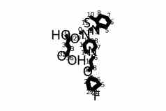 CN(C1=Nc2ccccc2CS1)C1CCN(CCCOc2ccc(F)cc2)CC1.O=C(O)C=CC(=O)O